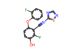 Oc1ccc(Oc2ccccc2F)c(C#[N+]c2ncns2)c1F